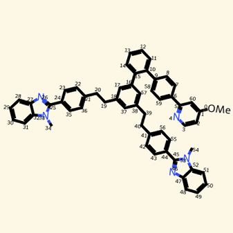 COc1ccnc(-c2ccc(-c3ccccc3-c3cc(CCc4ccc(-c5nc6ccccc6n5C)cc4)cc(CCc4ccc(-c5nc6ccccc6n5C)cc4)c3)cc2)c1